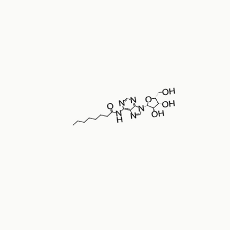 CCCCCCCC(=O)Nc1ncnc2c1ncn2[C@@H]1O[C@H](CO)[C@H](O)[C@H]1O